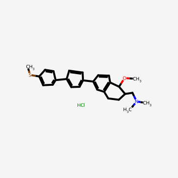 COC1c2ccc(-c3ccc(-c4ccc(SC)cc4)cc3)cc2CCC1CN(C)C.Cl